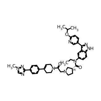 CCN(C(=O)[C@@H]1CCN(CC(=O)N2CC=C(c3ccc(-c4ncn(C)n4)cc3)CC2)C1)c1ccc2[nH]nc(-c3ccc(OC(C)C)nc3)c2c1